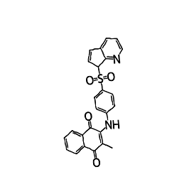 CC1=C(Nc2ccc(S(=O)(=O)C3C=Cc4cccnc43)cc2)C(=O)c2ccccc2C1=O